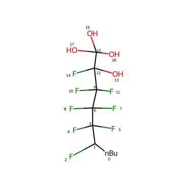 CCCCC(F)C(F)(F)C(F)(F)C(F)(F)C(O)(F)C(O)(O)O